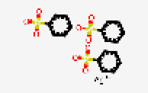 O=S(=O)([O-])c1ccccc1.O=S(=O)([O-])c1ccccc1.O=S(=O)([O-])c1ccccc1.[Ag+3]